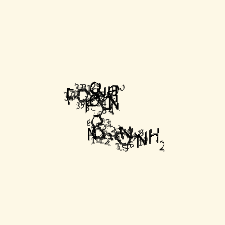 COc1ncc(-c2ccc3nccc(-c4ccc(CN)nc4)c3c2)cc1NS(=O)(=O)c1ccc(F)cc1F